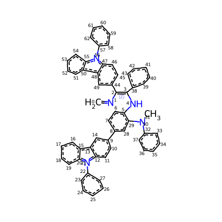 C=N/C(=C(\Nc1ccc(-c2ccc3c(c2)c2ccccc2n3-c2ccccc2)cc1N(C)c1ccccc1)c1ccccc1)c1ccc2c(c1)c1ccccc1n2-c1ccccc1